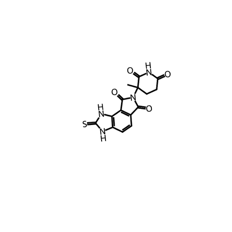 CC1(N2C(=O)c3ccc4[nH]c(=S)[nH]c4c3C2=O)CCC(=O)NC1=O